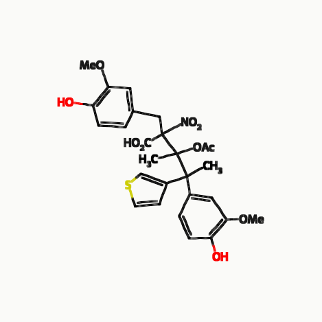 COc1cc(CC(C(=O)O)([N+](=O)[O-])C(C)(OC(C)=O)C(C)(c2ccsc2)c2ccc(O)c(OC)c2)ccc1O